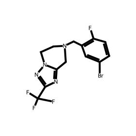 Fc1ccc(Br)cc1CN1CCn2nc(C(F)(F)F)nc2C1